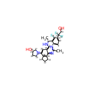 Cc1nc(N[C@H](C)c2cccc(C(F)(F)CO)c2F)c2cc(N3CC[C@H](O)C3)c3c(c2n1)CCC3